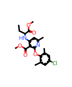 CCC(Nc1cc(C)nc(Oc2c(C)cc(Cl)cc2C)c1C(=O)OC)C(=O)OC